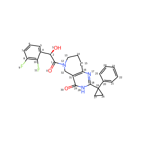 O=C([C@H](O)c1cccc(F)c1F)N1CCCc2nc(C3(c4ccccc4)CC3)[nH]c(=O)c2C1